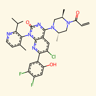 C=CC(=O)N1C[C@H](C)N(c2nc(=O)n(-c3c(C)ccnc3C(C)C)c3nc(-c4cc(F)c(F)cc4O)c(Cl)cc23)C[C@H]1C